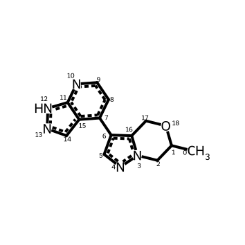 CC1Cn2ncc(-c3ccnc4[nH]ncc34)c2CO1